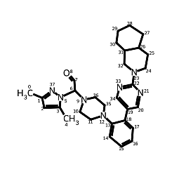 Cc1cc(C)n(C(C=O)N2CCN(c3ccccc3-c3cnc(N4CCC5CCCCC5C4)nc3)CC2)n1